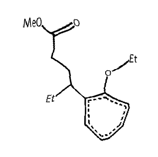 CCOc1ccccc1C(CC)CCC(=O)OC